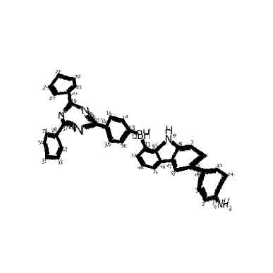 Nc1ccc(-c2ccc3[nH]c4c(Bc5ccc(-c6nc(-c7ccccc7)nc(-c7ccccc7)n6)cc5)cccc4c3c2)cc1